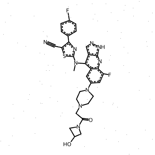 CN(c1nc(-c2ccc(F)cc2)c(C#N)s1)c1c2cn[nH]c2nc2c(F)cc(N3CCN(CC(=O)N4CC(O)C4)CC3)cc12